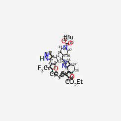 CCOC(=O)c1oc2c(c1C(F)(F)F)-c1[nH]ncc1CC2.CCOC(=O)c1oc2c(c1C(F)(F)F)-c1nn(CC3CCN(C(=O)OC(C)(C)C)CC3)cc1CC2